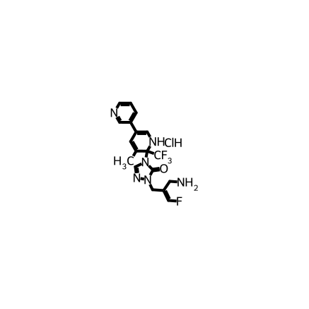 CC1=CC(c2cccnc2)=CNC1(n1cnn(C/C(=C/F)CN)c1=O)C(F)(F)F.Cl